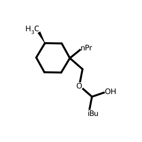 CCCC1(COC(O)C(C)CC)CCC[C@@H](C)C1